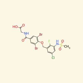 CS(=O)(=O)Nc1cc(Cl)cc(COc2c(Br)cc(C(=O)NCC(=O)O)cc2Br)c1F